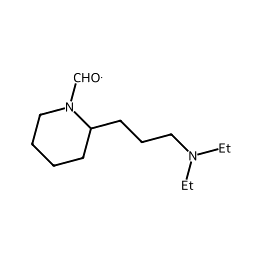 CCN(CC)CCCC1CCCCN1[C]=O